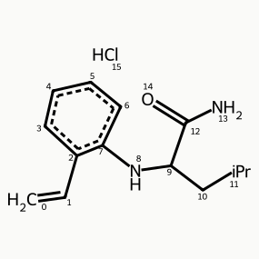 C=Cc1ccccc1NC(CC(C)C)C(N)=O.Cl